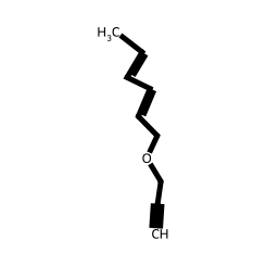 C#CCOCC=CC=CC